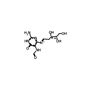 Nc1nc(/N=C/C[C@@H](O)[C@H](O)CO)c(NC=O)c(=O)[nH]1